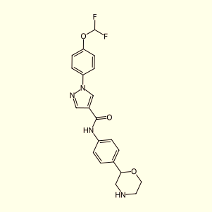 O=C(Nc1ccc(C2CNCCO2)cc1)c1cnn(-c2ccc(OC(F)F)cc2)c1